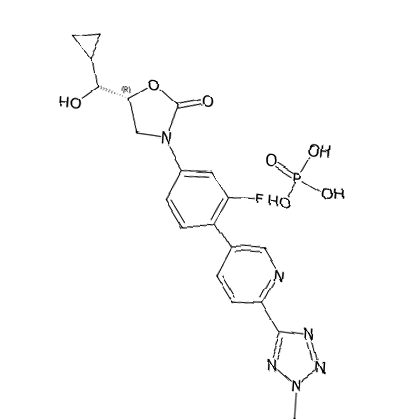 O=C1O[C@@H](C(O)C2CC2)CN1c1ccc(-c2ccc(-c3nnn(C4CC4)n3)nc2)c(F)c1.O=P(O)(O)O